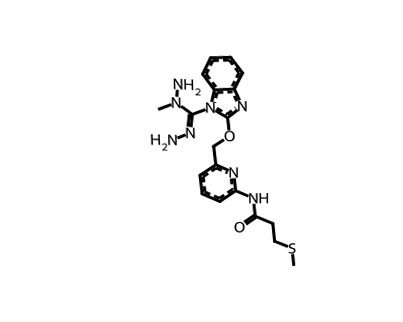 CSCCC(=O)Nc1cccc(COc2nc3ccccc3n2/C(=N/N)N(C)N)n1